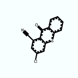 N#Cc1cc(Cl)cc2sc3ccccc3c(=O)c12